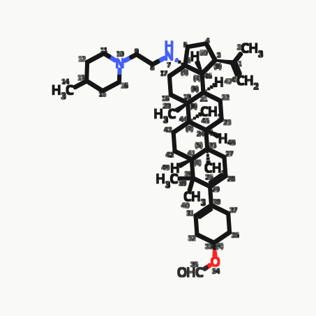 C=C(C)[C@@H]1CC[C@]2(NCCN3CCC(C)CC3)CC[C@]3(C)[C@H](CC[C@@H]4[C@@]5(C)CC=C(C6=CC[C@H](OC=O)CC6)C(C)(C)[C@@H]5CC[C@]43C)[C@@H]12